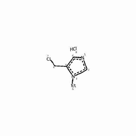 CCn1cncc1CCl.Cl